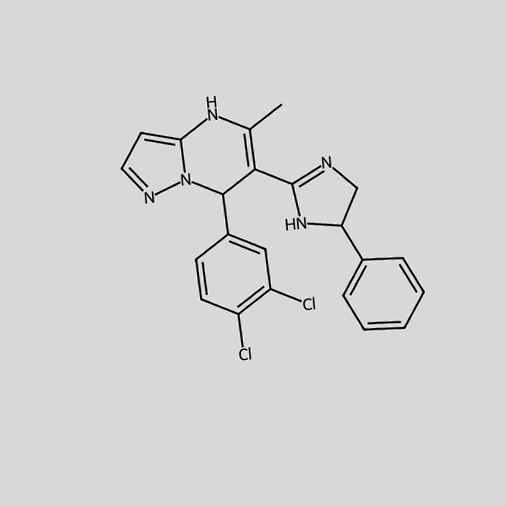 CC1=C(C2=NCC(c3ccccc3)N2)C(c2ccc(Cl)c(Cl)c2)n2nccc2N1